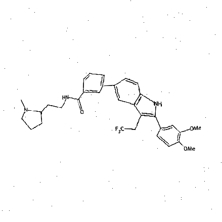 COc1ccc(-c2[nH]c3ccc(-c4cccc(C(=O)NCCC5CCCN5C)c4)cc3c2CC(F)(F)F)cc1OC